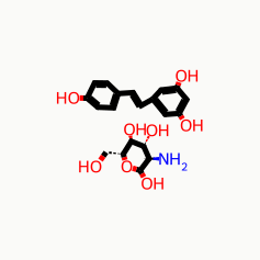 N[C@H]1C(O)O[C@H](CO)[C@@H](O)[C@@H]1O.Oc1ccc(C=Cc2cc(O)cc(O)c2)cc1